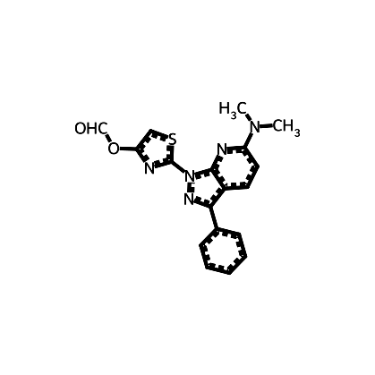 CN(C)c1ccc2c(-c3ccccc3)nn(-c3nc(OC=O)cs3)c2n1